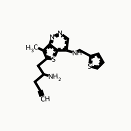 C#CCC(N)Cc1sc2c(NCc3cccs3)cnnc2c1C